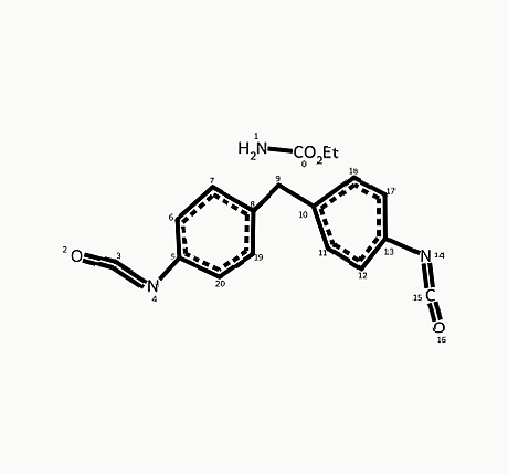 CCOC(N)=O.O=C=Nc1ccc(Cc2ccc(N=C=O)cc2)cc1